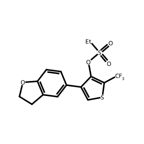 CCS(=O)(=O)Oc1c(-c2ccc3c(c2)CCO3)csc1C(F)(F)F